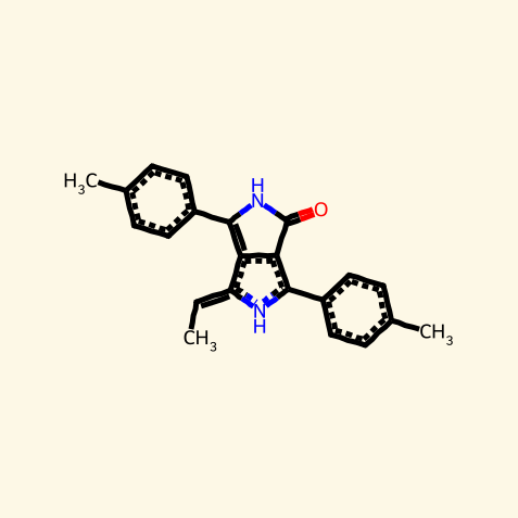 CC=c1[nH]c(-c2ccc(C)cc2)c2c1=C(c1ccc(C)cc1)NC2=O